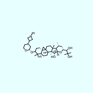 CC(C)N1CC(N2CCO[C@@H](OC3CC[C@]45CC46CC[C@]4(C)[C@@H]7[C@H](O[C@@H]([C@@H](O)C(C)(C)O)C[C@H]7C)[C@H](O)[C@@]4(C)[C@@H]6CC[C@H]5C3(C)C)C2)C1